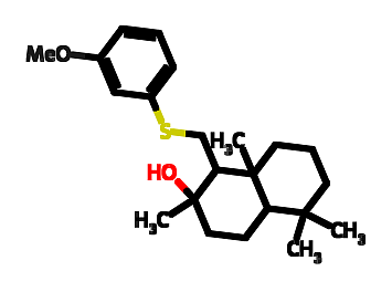 COc1cccc(SCC2C(C)(O)CCC3C(C)(C)CCCC32C)c1